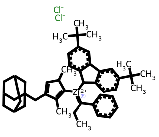 CC/[C](c1ccccc1)=[Zr+2](\[C]1=C(C)C(CC23CC4CC(CC(C4)C2)C3)=CC1C)[CH]1c2ccc(C(C)(C)C)cc2-c2cc(C(C)(C)C)ccc21.[Cl-].[Cl-]